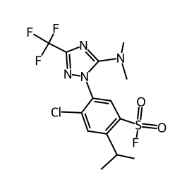 CC(C)c1cc(Cl)c(-n2nc(C(F)(F)F)nc2N(C)C)cc1S(=O)(=O)F